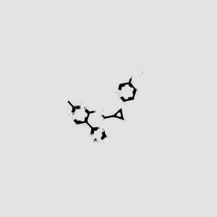 COc1ccc([C@@H]2CC2COc2nc(C)ncc2-c2ncno2)nc1